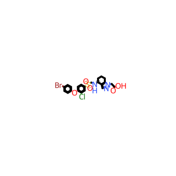 O=C(O)Cn1ncc2c1CCC[C@H]2NCS(=O)(=O)c1ccc(Oc2ccc(Br)cc2)c(Cl)c1